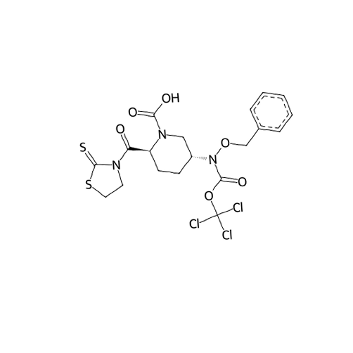 O=C([C@@H]1CC[C@@H](N(OCc2ccccc2)C(=O)OC(Cl)(Cl)Cl)CN1C(=O)O)N1CCSC1=S